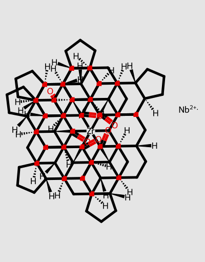 O=C[C@]12CC[C@@H]3CCC[C@H]3[C@@H]1CC[C@H]1CCC[CH]([Zr]([CH]3CCC[C@@H]4CC[C@H]5[C@@H]6CCC[C@H]6CC[C@]5(C=O)[C@@H]34)([CH]3CCC[C@@H]4CC[C@H]5[C@@H]6CCC[C@H]6CC[C@]5(C=O)[C@@H]34)([CH]3CCC[C@@H]4CC[C@H]5[C@@H]6CCC[C@H]6CC[C@]5(C=O)[C@@H]34)([CH]3CCC[C@@H]4CC[C@H]5[C@@H]6CCC[C@H]6CC[C@]5(C=O)[C@@H]34)[CH]3CCC[C@@H]4CC[C@H]5[C@@H]6CCC[C@H]6CC[C@]5(C=O)[C@@H]34)[C@@H]12.[Nb+2]